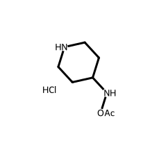 CC(=O)ONC1CCNCC1.Cl